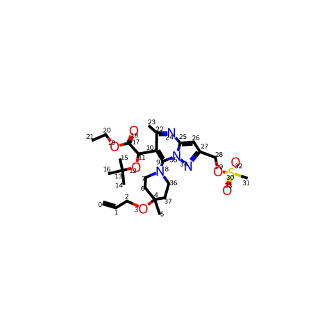 C=CCOC1(C)CCN(c2c(C(OC(C)(C)C)C(=O)OCC)c(C)nc3cc(COS(C)(=O)=O)nn23)CC1